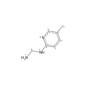 Cc1ccc(NCN)nc1